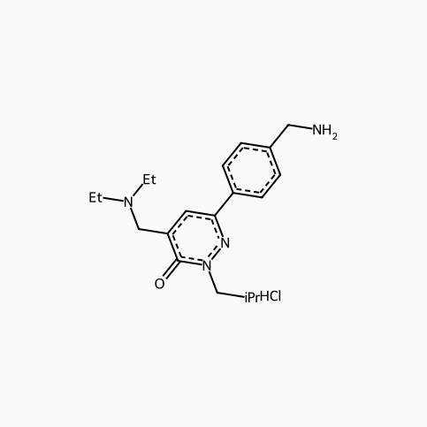 CCN(CC)Cc1cc(-c2ccc(CN)cc2)nn(CC(C)C)c1=O.Cl